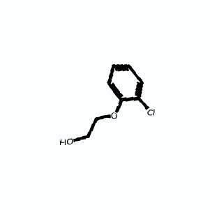 OCCOc1cc[c]cc1Cl